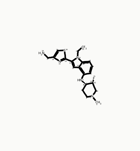 CN1CC[C@@H](Nc2cccc3c2cc(-c2nc(CN)cs2)n3CC(F)(F)F)[C@@H](F)C1